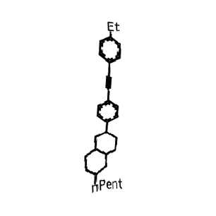 CCCCCC1CCC2CC(c3ccc(C#Cc4ccc(CC)cc4)cc3)CCC2C1